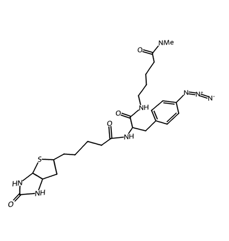 CNC(=O)CCCCNC(=O)C(Cc1ccc(N=[N+]=[N-])cc1)NC(=O)CCCCC1CC2NC(=O)NC2S1